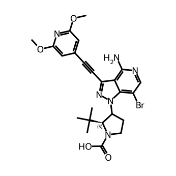 COc1cc(C#Cc2nn(C3CCN(C(=O)O)[C@H]3C(C)(C)C)c3c(Br)cnc(N)c23)cc(OC)n1